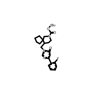 CC(C)(C)OC(=O)N1CCC(Cn2cnc(-c3ccccc3F)cc2=O)C2(CCCC2)C1